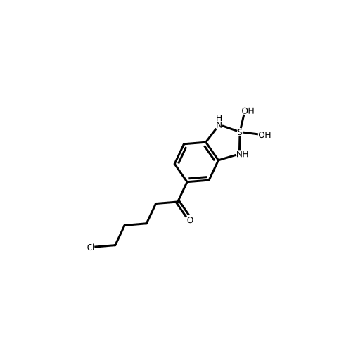 O=C(CCCCCl)c1ccc2c(c1)NS(O)(O)N2